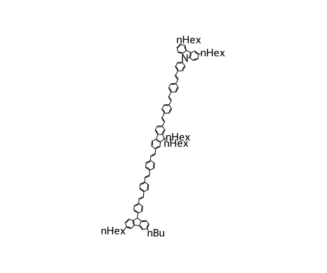 CCCCCCc1ccc2c(c1)-c1cc(CCCC)ccc1C2c1ccc(/C=C/c2ccc(/C=C/c3ccc(/C=C/c4ccc5c(c4)C(CCCCCC)(CCCCCC)c4cc(/C=C/c6ccc(/C=C/c7ccc(/C=C/c8ccc(-n9c%10ccc(CCCCCC)cc%10c%10cc(CCCCCC)ccc%109)cc8)cc7)cc6)ccc4-5)cc3)cc2)cc1